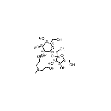 CN(CCO)CCO.OC[C@H]1O[C@@](CO)(O[C@H]2O[C@H](CO)[C@@H](O)[C@H](O)[C@H]2O)[C@@H](O)[C@@H]1O